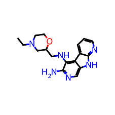 CCN1CCOC(CNc2c(N)ncc3[nH]c4ncccc4c23)C1